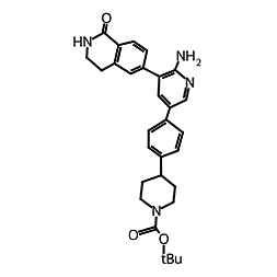 CC(C)(C)OC(=O)N1CCC(c2ccc(-c3cnc(N)c(-c4ccc5c(c4)CCNC5=O)c3)cc2)CC1